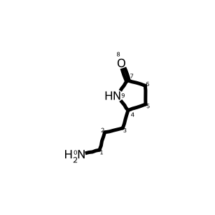 NCCCC1CCC(=O)N1